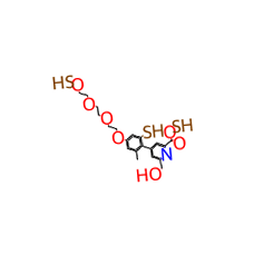 Cc1cc(OCCOCCOCCOS)cc(S)c1-c1cc(CO)nc(C(=O)OS)c1